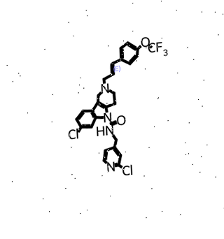 O=C(NCc1ccnc(Cl)c1)n1c2c(c3ccc(Cl)cc31)CN(C/C=C/c1ccc(OC(F)(F)F)cc1)CC2